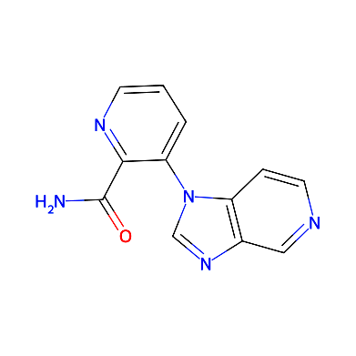 NC(=O)c1ncccc1-n1cnc2cnccc21